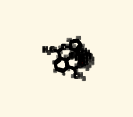 CC(C)c1cccc(C(C)C)c1[O][Ti]([CH3])([CH3])([CH3])([CH3])([CH3])([Cl])([Cl])[C]1=CC=CC1